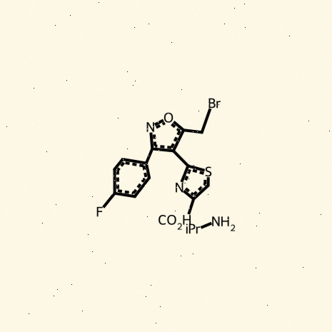 CC(C)N.O=C(O)c1csc(-c2c(-c3ccc(F)cc3)noc2CBr)n1